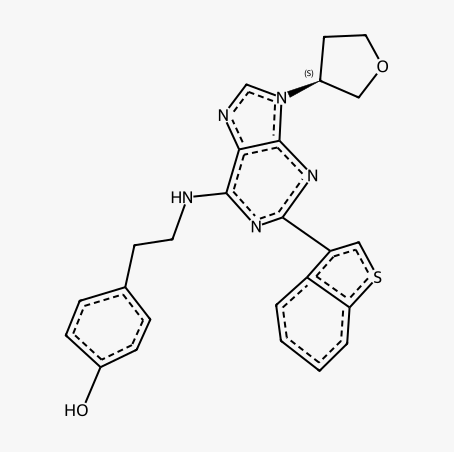 Oc1ccc(CCNc2nc(-c3csc4ccccc34)nc3c2ncn3[C@H]2CCOC2)cc1